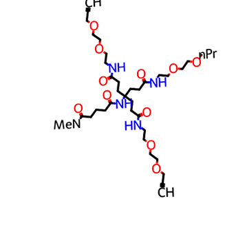 C#CCOCCOCCNC(=O)CCC(CCC(=O)NCCOCCOCC#C)(CCC(=O)NCCOCCOCCC)NC(=O)CCCC(=O)NC